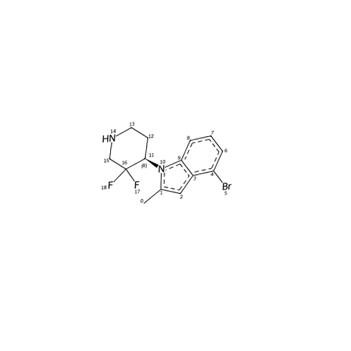 Cc1cc2c(Br)cccc2n1[C@@H]1CCNCC1(F)F